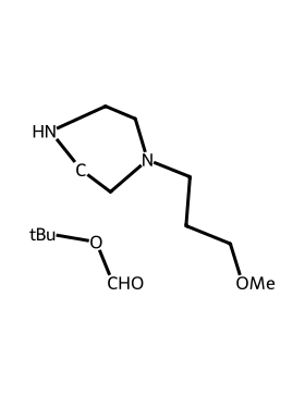 CC(C)(C)OC=O.COCCCN1CCNCC1